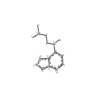 CN(C)CCN(C)c1ccnn2cnnc12